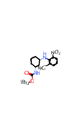 CC(C)(C)OC(=O)N[C@@H]1CCC[C@H](Nc2c(C#N)cccc2[N+](=O)[O-])C1